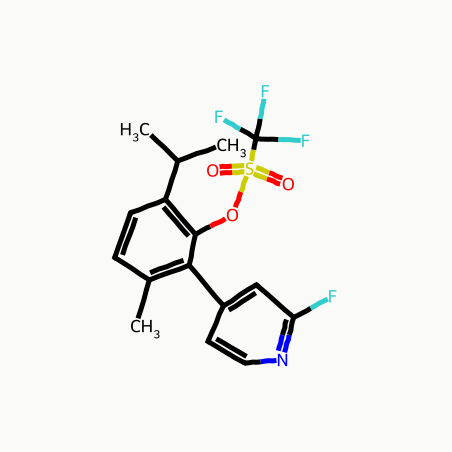 Cc1ccc(C(C)C)c(OS(=O)(=O)C(F)(F)F)c1-c1ccnc(F)c1